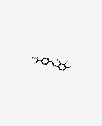 COC(=O)c1ccc(C=Nc2ccc(Cl)c(Cl)c2Cl)cc1